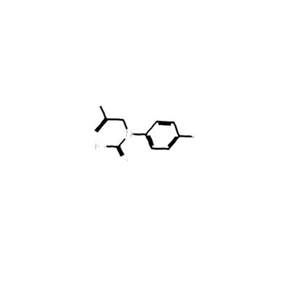 C=C(C)CN(C(=O)O)c1ccc(Cl)cc1